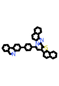 c1ccc2c(c1)cnc1cc(-c3ccc(-c4cc5c6ccc7ccccc7c6sc5c5nc6c7ccccc7ccc6n45)cc3)ccc12